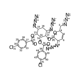 [N-]=[N+]=NCC1C=CC(N=[N+]=[N-])[C@@H](OC2C(N=[N+]=[N-])CC(N=[N+]=[N-])C(OC(=O)c3ccc(Cl)cc3)[C@H]2OC(=O)c2ccc(Cl)cc2)O1